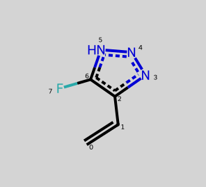 C=Cc1nn[nH]c1F